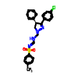 O=S(=O)(/N=C/NCN1C[C@H](c2ccccc2)C(c2ccc(Cl)cc2)=N1)c1ccc(C(F)(F)F)cc1